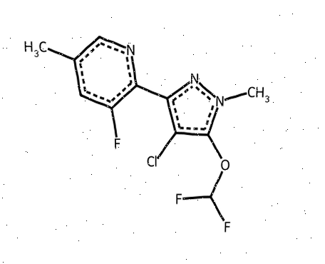 Cc1cnc(-c2nn(C)c(OC(F)F)c2Cl)c(F)c1